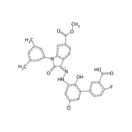 COC(=O)c1ccc2c(c1)N(c1cc(C)cc(C)c1)C(=O)/C2=N\Nc1cc(Cl)cc(-c2ccc(F)c(C(=O)O)c2)c1O